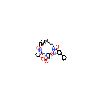 COC(=O)[C@@H]1C[C@@H]2CN1C(=O)[C@H](C1CCCC1)NC(=O)O[C@@H]1CCC[C@H]1CC/C=C/Cn1c(nc3cc(-c4ccccc4)ccc3c1=O)O2